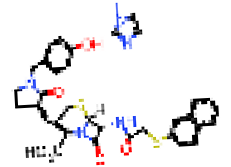 O=C(CSc1ccc2ccccc2c1)N[C@@H]1C(=O)N2C(C(=O)O)=C(C=C3CCN(Cc4ccc(O)cc4)C3=O)CS[C@H]12.c1c[nH]cn1